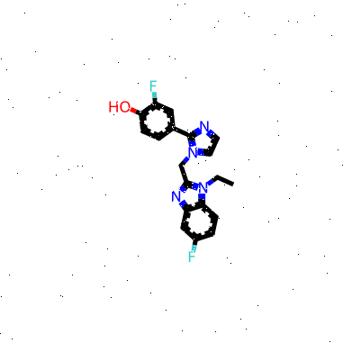 CCn1c(Cn2ccnc2-c2ccc(O)c(F)c2)nc2cc(F)ccc21